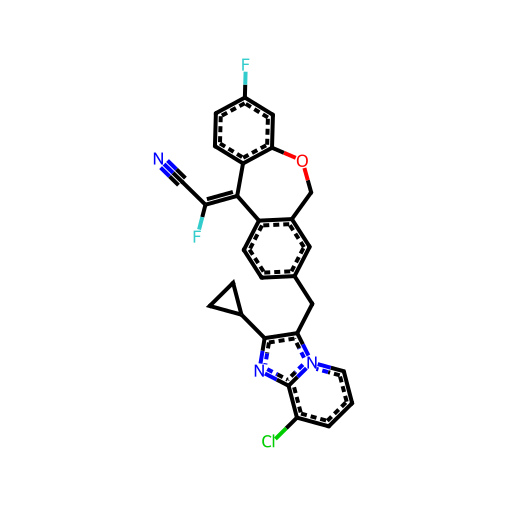 N#CC(F)=C1c2ccc(Cc3c(C4CC4)nc4c(Cl)cccn34)cc2COc2cc(F)ccc21